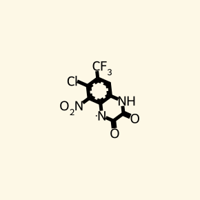 O=C1[N]c2c(cc(C(F)(F)F)c(Cl)c2[N+](=O)[O-])NC1=O